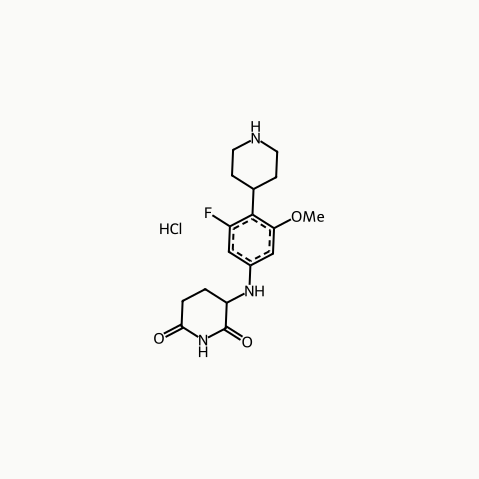 COc1cc(NC2CCC(=O)NC2=O)cc(F)c1C1CCNCC1.Cl